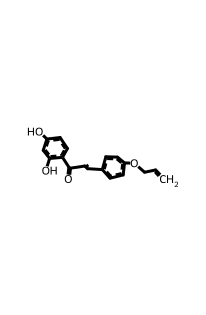 C=CCOc1ccc(/C=C/C(=O)c2ccc(O)cc2O)cc1